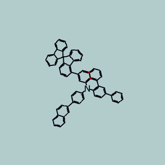 c1ccc(-c2ccc(N(c3ccc(-c4ccc5ccccc5c4)cc3)c3cccc(-c4cccc5c4-c4ccccc4C54c5ccccc5-c5ccccc54)c3)c(-c3ccccc3)c2)cc1